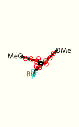 COCCOCCOCCOC(=O)C1CC(OC(=O)CCC(F)(F)C(F)(F)Br)CC(C(=O)OCCOCCOCCOC)C1